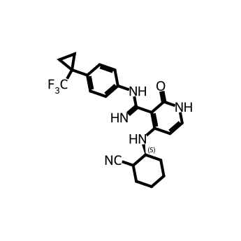 N#CC1CCCC[C@@H]1Nc1cc[nH]c(=O)c1C(=N)Nc1ccc(C2(C(F)(F)F)CC2)cc1